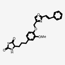 COc1cc(CCCC2NC(=O)SC2=O)ccc1OCc1coc(C=Cc2ccccc2)n1